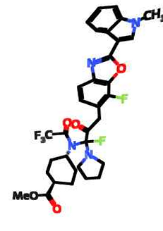 COC(=O)[C@H]1CC[C@H](N(C(=O)C(F)(F)F)C(F)(C(=O)Cc2ccc3nc(-c4cn(C)c5ccccc45)oc3c2F)N2CCCC2)CC1